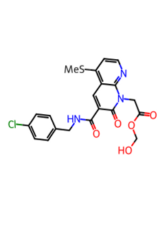 CSc1ccnc2c1cc(C(=O)NCc1ccc(Cl)cc1)c(=O)n2CC(=O)OCO